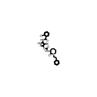 O=C(N[C@@H]1CCCCN(CCc2ccccc2)C1=O)Oc1n[nH]c(NC(=O)c2ccccc2Cl)c1Br